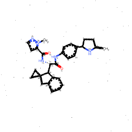 C=C1CCC(c2ccc(NC(=O)[C@@H](NC(=O)c3ccnn3C)C3c4ccccc4CC34CC4)cc2)N1